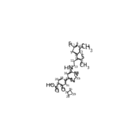 Cc1sc2c(C)cc(F)cc2c1CCNc1cc(-c2ccc(C(=O)O)c(OC3CCC3)c2)ncn1